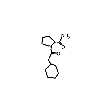 NC(=O)[C@H]1CCCN1C(=O)[CH]C1CCCCC1